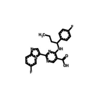 CCCC(Nc1nc(-c2cnc3ccc(F)cn23)ncc1C(=O)O)c1ccc(F)cc1